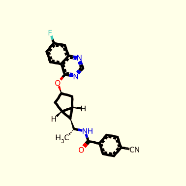 C[C@@H](NC(=O)c1ccc(C#N)cc1)[C@H]1[C@@H]2C[C@@H](Oc3ncnc4cc(F)ccc34)C[C@@H]21